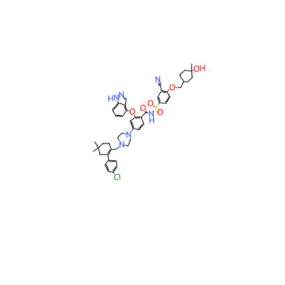 CC1(C)CCC(CN2CCN(c3ccc(C(=O)NS(=O)(=O)c4ccc(OCC5CCC(C)(O)CC5)c(C#N)c4)c(Oc4cccc5[nH]ncc45)c3)CC2)=C(c2ccc(Cl)cc2)C1